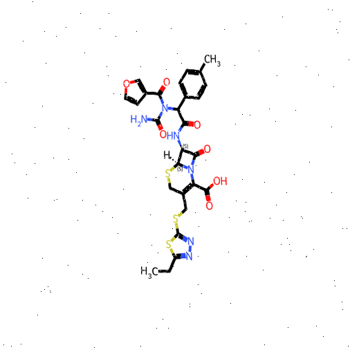 CCc1nnc(SCC2=C(C(=O)O)N3C(=O)[C@H](NC(=O)C(c4ccc(C)cc4)N(C(N)=O)C(=O)c4ccoc4)[C@@H]3SC2)s1